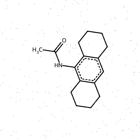 CC(=O)Nc1c2c(cc3c1CCCC3)CCCC2